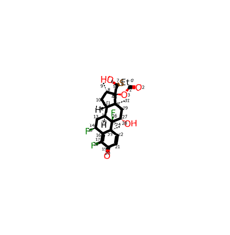 CCC(=O)O[C@]1(C(O)=S)[C@@H](C)C[C@H]2[C@@H]3C[C@H](F)C4=C(F)C(=O)C=C[C@]4(C)[C@@]3(F)[C@@H](O)C[C@@]21C